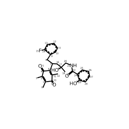 CC1=C(C)C(=O)C(C(Cc2ccccc2F)CC(C)(O)CNC(=O)c2ccccc2O)=C(C)C1=O